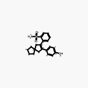 NS(=O)(=O)c1ccccc1C1=C(c2ccc(O)cc2)CC2(CCCC2)C1